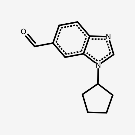 O=Cc1ccc2ncn(C3CCCC3)c2c1